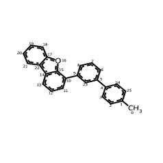 Cc1ccc(-c2cccc(-c3cccc4c3oc3ccccc34)c2)cc1